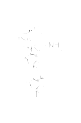 NCCc1cn(Cc2ccc(C(=O)O)s2)c2ccc(OCc3ccc(F)cc3Cl)cc12